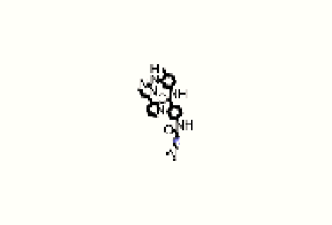 Cc1ccc(NC(=O)c2ccc(NC(=O)/C=C/CN(C)C)cc2)cc1Nc1nccc(-c2cccnc2)n1